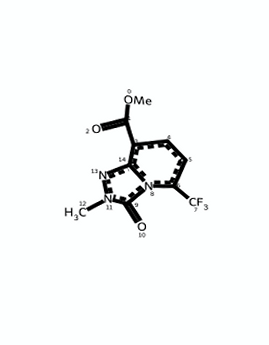 COC(=O)c1ccc(C(F)(F)F)n2c(=O)n(C)nc12